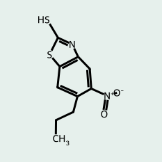 CCCc1cc2sc(S)nc2cc1[N+](=O)[O-]